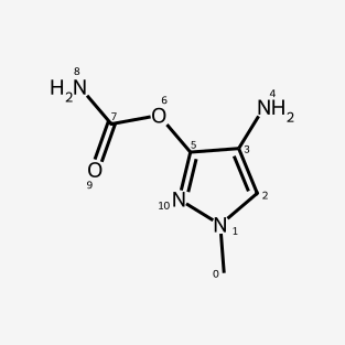 Cn1cc(N)c(OC(N)=O)n1